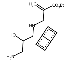 C=C(CNCC(O)CN)C(=O)OCC.c1cc2ccc1-2